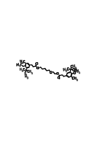 CCc1c(C)cc(CCC(=O)OCCCCCOCCOC(=O)CCc2cc(C)c(OC)c(C(C)(C)C)c2)cc1C(C)(C)C